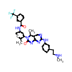 CNCCc1cccc(Nc2ncc3c(C)n(-c4cc(NC(=O)c5cccc(C(F)(F)F)c5)ccc4C)c(=O)nc3n2)c1